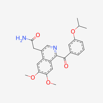 COc1cc2c(CC(N)=O)cnc(C(=O)c3cccc(OC(C)C)c3)c2cc1OC